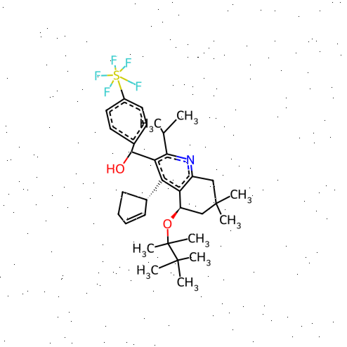 CC(C)c1nc2c(c([C@@H]3C=CCC3)c1C(O)c1ccc(S(F)(F)(F)(F)F)cc1)[C@H](OC(C)(C)C(C)(C)C)CC(C)(C)C2